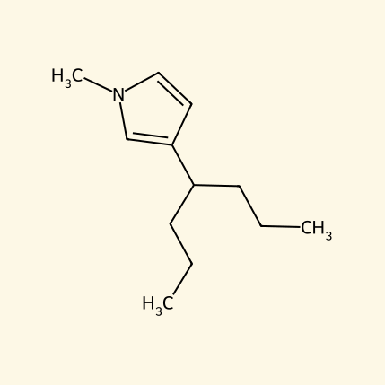 CCCC(CCC)c1ccn(C)c1